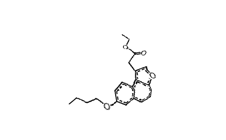 CCCCOc1ccc2c(ccc3occ(CC(=O)OCC)c32)c1